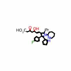 CC(C)c1c(/C=C/C(O)CC(=O)CC(=O)O)c(-c2ccc(F)cc2)c(-c2ccccc2)n1C1CCCCCN1